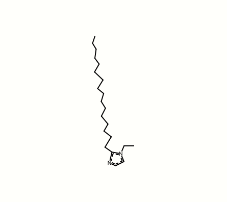 CCCCCCCCCCCCCCCCc1nccn1CC